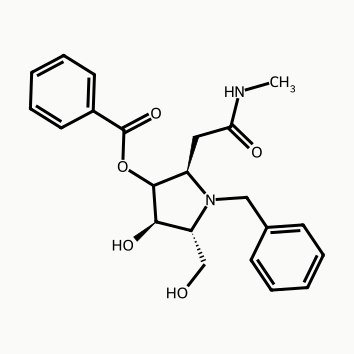 CNC(=O)C[C@@H]1C(OC(=O)c2ccccc2)[C@H](O)[C@@H](CO)N1Cc1ccccc1